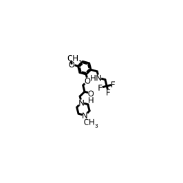 COc1ccc(CNCC(F)(F)F)c(OCC(O)CN2CCN(C)CC2)c1